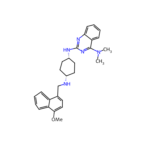 COc1ccc(CN[C@H]2CC[C@@H](Nc3nc(N(C)C)c4ccccc4n3)CC2)c2ccccc12